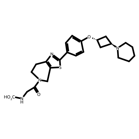 O=C(O)NCC(=O)N1CCc2nc(-c3ccc(O[C@H]4C[C@H](N5CCCCC5)C4)cc3)sc2C1